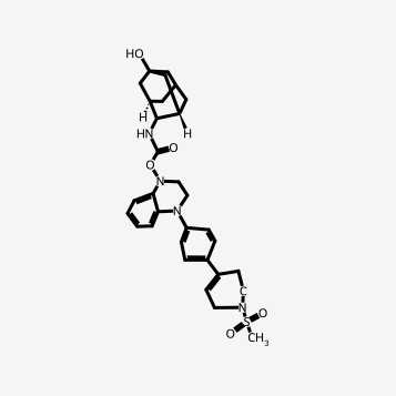 CS(=O)(=O)N1CC=C(c2ccc(N3CCN(OC(=O)NC4[C@@H]5CC6C[C@H]4CC(O)(C6)C5)c4ccccc43)cc2)CC1